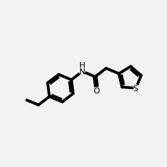 CCc1ccc(NC(=O)Cc2ccsc2)cc1